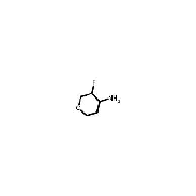 NC1CCOCC1F